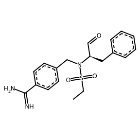 CCS(=O)(=O)N(Cc1ccc(C(=N)N)cc1)[C@@H](C=O)Cc1ccccc1